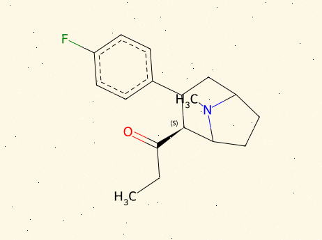 CCC(=O)[C@H]1C(c2ccc(F)cc2)CC2CCC1N2C